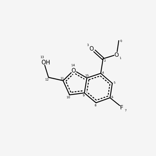 COC(=O)c1cc(F)cc2cc(CO)oc12